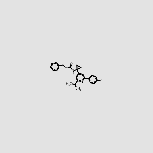 C=C(C)c1cc(C2(NC(=O)OCc3ccccc3)CC2)cc(-c2ccc(F)cc2)n1